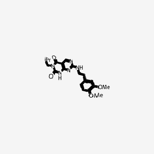 COc1ccc(CCNc2ncc3c(=O)n(CC(C)C)c(=O)[nH]c3n2)cc1OC